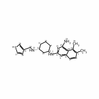 Cc1ccc2nc(N[C@@H]3CCC[C@@H](NCc4ccsc4)C3)nc(N)c2c1C